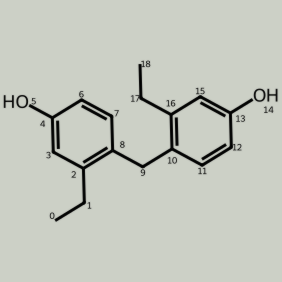 CCc1cc(O)ccc1Cc1ccc(O)cc1CC